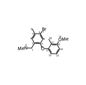 CNCc1cc(C)c(Br)cc1Oc1cccc(OC)c1C